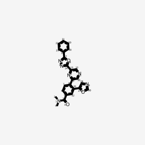 CN(C)C(=O)c1ccc(-c2cncc(-c3nnc(-c4ccccc4)o3)n2)c(-c2cnco2)c1